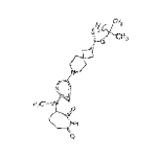 CN(c1ccc(N2CCC3(CC2)CN(C(=O)OC(C)(C)C)C3)cc1)C1CCC(=O)NC1=O